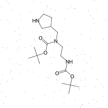 CC(C)(C)OC(=O)NCCN(CC1CCNC1)C(=O)OC(C)(C)C